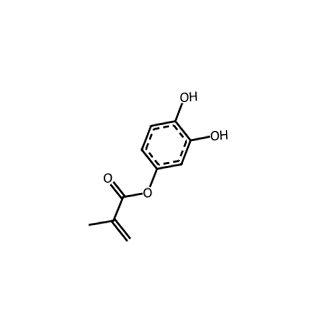 C=C(C)C(=O)Oc1ccc(O)c(O)c1